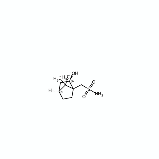 CC1(C)[C@H]2CCC1(CS(N)(=O)=O)[C@H](O)C2